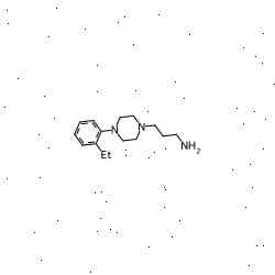 CCc1ccccc1N1CCN(CCCN)CC1